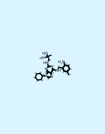 CCCC(C)(O)CNc1nc(NCc2cc(C)ccc2N)c2ncn(C3CCCCC3)c2n1